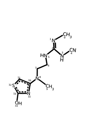 C/N=C(\NC#N)NCCN(C)c1csc(O)n1